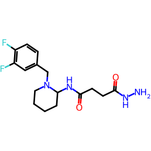 NNC(=O)CCC(=O)NC1CCCCN1Cc1ccc(F)c(F)c1